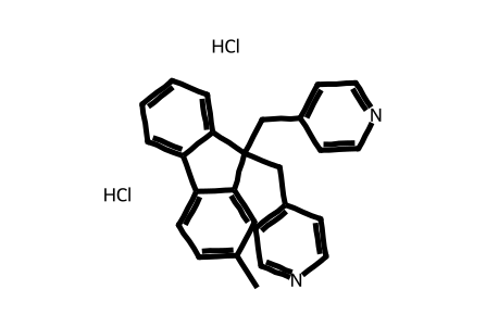 Cc1ccc2c(c1)C(Cc1ccncc1)(Cc1ccncc1)c1ccccc1-2.Cl.Cl